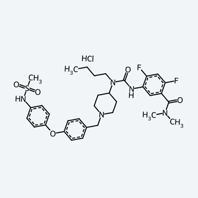 CCCCN(C(=O)Nc1cc(C(=O)N(C)C)c(F)cc1F)C1CCN(Cc2ccc(Oc3ccc(NS(C)(=O)=O)cc3)cc2)CC1.Cl